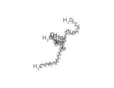 CCCCC/C=C\C/C=C\C/C=C\C/C=C\CCCC(=O)O[C@H](COC(=O)CCCCCCC/C=C\CCCCCCCC)COP(=O)([O-])OCC[N+](C)(C)C